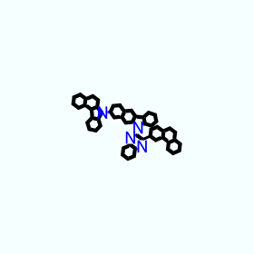 c1ccc2c(c1)ccc1ccc(-c3nc4ccccc4nc3-n3c4ccccc4c4cc5ccc(-n6c7ccccc7c7c8ccccc8ccc76)cc5cc43)cc12